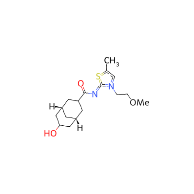 COCCn1cc(C)sc1=NC(=O)C1C[C@H]2CC(O)C[C@@H](C1)C2